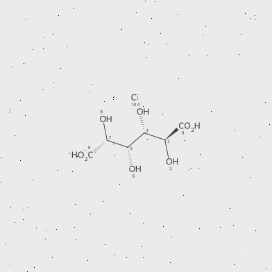 O=C(O)[C@@H](O)[C@@H](O)[C@H](O)[C@@H](O)C(=O)O.[C]